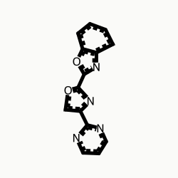 c1cnc(-c2coc(-c3nc4ccccc4o3)n2)nc1